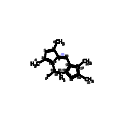 CC1=CC(C)=[N+](B(F)F)/C1=C\c1c(C)cc(C)n1C